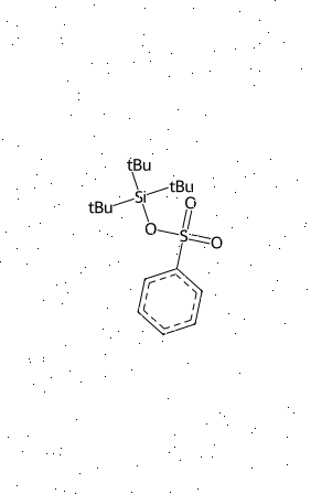 CC(C)(C)[Si](OS(=O)(=O)c1ccccc1)(C(C)(C)C)C(C)(C)C